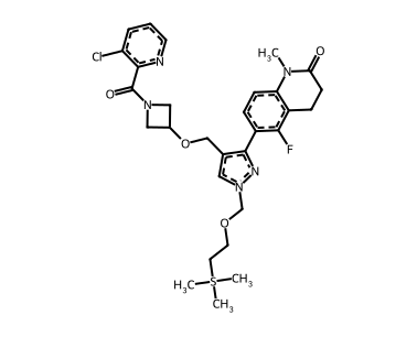 CN1C(=O)CCc2c1ccc(-c1nn(COCCS(C)(C)C)cc1COC1CN(C(=O)c3ncccc3Cl)C1)c2F